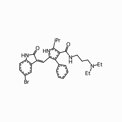 CCN(CC)CCCNC(=O)c1c(C(C)C)[nH]c(C=C2C(=O)Nc3ccc(Br)cc32)c1-c1ccccc1